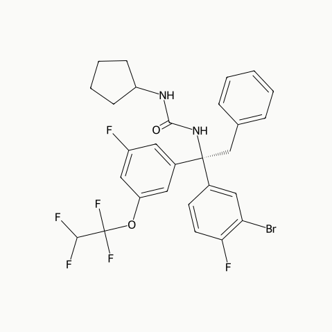 O=C(NC1CCCC1)N[C@](Cc1ccccc1)(c1cc(F)cc(OC(F)(F)C(F)F)c1)c1ccc(F)c(Br)c1